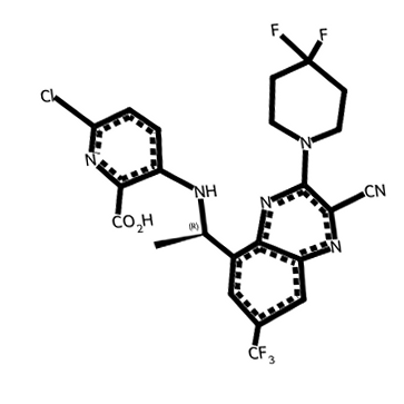 C[C@@H](Nc1ccc(Cl)nc1C(=O)O)c1cc(C(F)(F)F)cc2nc(C#N)c(N3CCC(F)(F)CC3)nc12